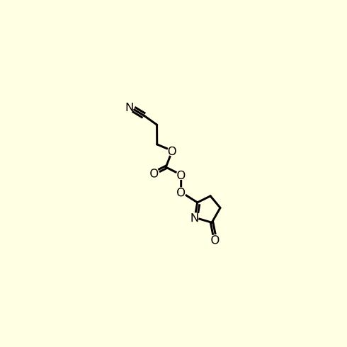 N#CCCOC(=O)OOC1=NC(=O)CC1